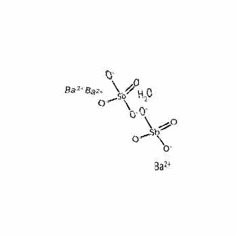 O.[Ba+2].[Ba+2].[Ba+2].[O]=[Sb]([O-])([O-])[O-].[O]=[Sb]([O-])([O-])[O-]